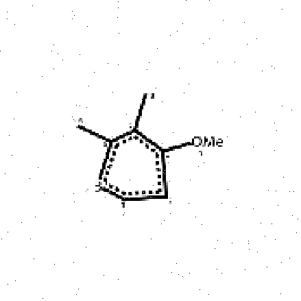 COc1ccbc(C)c1C